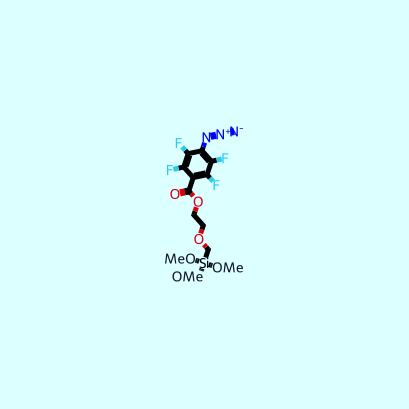 CO[Si](COCCOC(=O)c1c(F)c(F)c(N=[N+]=[N-])c(F)c1F)(OC)OC